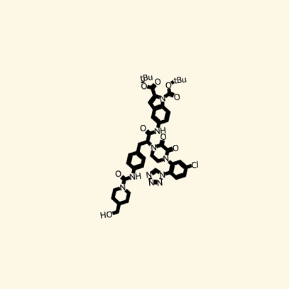 CC(C)(C)OC(=O)c1cc2cc(NC(=O)C(Cc3ccc(NC(=O)N4CCC(CO)CC4)cc3)N3CCN(c4cc(Cl)ccc4-n4cnnn4)C(=O)C3=O)ccc2n1C(=O)OC(C)(C)C